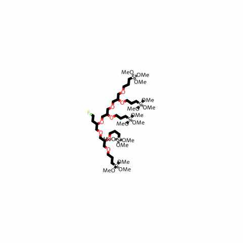 CO[Si](CCCOCC(COCC(CCF)OCC(COCC(COCCC[Si](OC)(OC)OC)OCCC[Si](OC)(OC)OC)OCCC[Si](OC)(OC)OC)OCCC[Si](OC)(OC)OC)(OC)OC